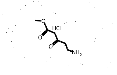 COC(=O)CC(=O)CCN.Cl